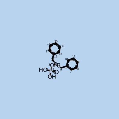 O=P(O)(O)O.c1ccc([CH2][Ag][CH2]c2ccccc2)cc1